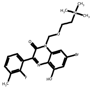 Cc1cccc(-c2nc3c(O)cc(Br)cc3n(COCC[Si](C)(C)C)c2=O)c1F